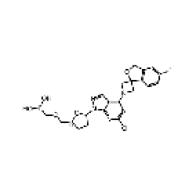 OP(O)COC[C@@H]1CCC(n2ncc3c(N4CC5(C4)OCc4cc(Cl)ccc45)nc(Cl)nc32)O1